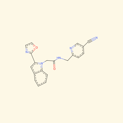 N#Cc1ccc(CNC(=O)Cn2c(-c3ncco3)cc3ccccc32)nc1